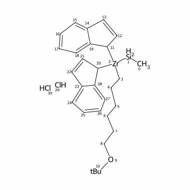 C[SiH2][Zr]([CH2]CCCCCOC(C)(C)C)([CH]1C=Cc2ccccc21)[CH]1C=Cc2ccccc21.Cl.Cl